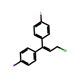 BrCC=C(c1ccc(I)cc1)c1ccc(I)cc1